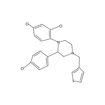 Clc1ccc(C2CN(Cc3ccsc3)CCN2c2ccc(Cl)cc2Cl)cc1